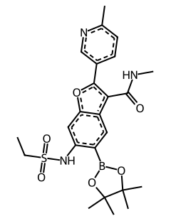 CCS(=O)(=O)Nc1cc2oc(-c3ccc(C)nc3)c(C(=O)NC)c2cc1B1OC(C)(C)C(C)(C)O1